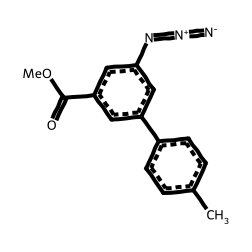 COC(=O)c1cc(N=[N+]=[N-])cc(-c2ccc(C)cc2)c1